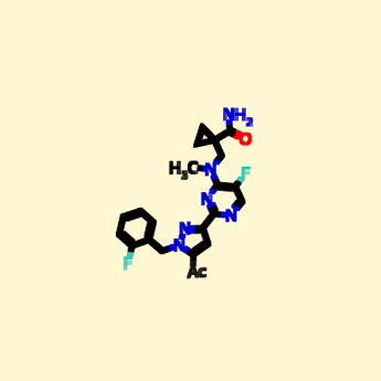 CC(=O)c1cc(-c2ncc(F)c(N(C)CC3(C(N)=O)CC3)n2)nn1Cc1ccccc1F